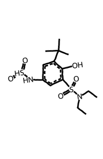 CCN(CC)S(=O)(=O)c1cc(N[SH](=O)=O)cc(C(C)(C)C)c1O